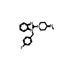 CN=C1CCN(c2nc3ccccc3n2Cc2ccc(F)cc2)CC1